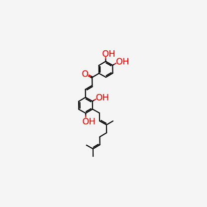 CC(C)=CCC/C(C)=C/Cc1c(O)ccc(/C=C/C(=O)c2ccc(O)c(O)c2)c1O